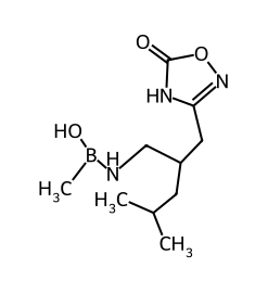 CB(O)NCC(Cc1noc(=O)[nH]1)CC(C)C